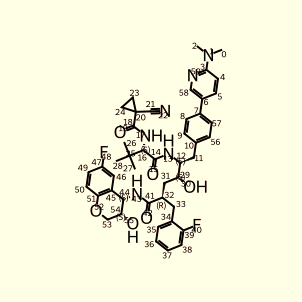 CN(C)c1ccc(-c2ccc(C[C@H](NC(=O)[C@@H](NC(=O)C3(C#N)CC3)C(C)(C)C)[C@@H](O)C[C@@H](Cc3ccccc3F)C(=O)N[C@H]3c4cc(F)ccc4OC[C@H]3O)cc2)cn1